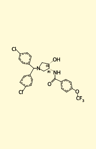 O=C(N[C@@H]1CN(C(c2ccc(Cl)cc2)c2ccc(Cl)cc2)C[C@@H]1O)c1ccc(OC(F)(F)F)cc1